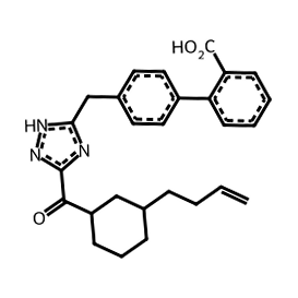 C=CCCC1CCCC(C(=O)c2n[nH]c(Cc3ccc(-c4ccccc4C(=O)O)cc3)n2)C1